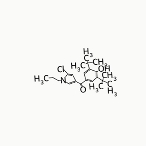 CCCn1cc(C(=O)c2cc(C(C)(C)C)c(O)c(C(C)(C)C)c2)cc1Cl